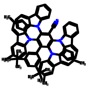 Cc1ccc2c(c1)c1cc(C)ccc1n2-c1c(-c2cc(C(C)(C)C)cc(C(C)(C)C)c2)c(-n2c3ccc(C)cc3c3cc(C)ccc32)c(-n2c3ccccc3c3ccccc32)c(C#N)c1-n1c2ccccc2c2ccccc21